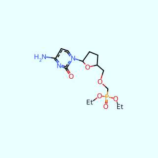 CCOP(=O)(COCC1CCC(n2ccc(N)nc2=O)O1)OCC